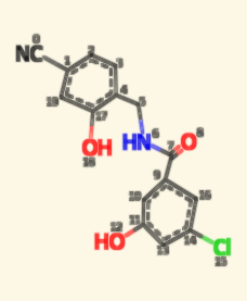 N#Cc1ccc(CNC(=O)c2cc(O)cc(Cl)c2)c(O)c1